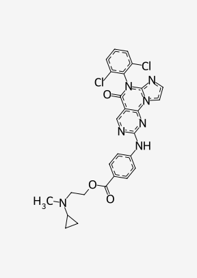 CN(CCOC(=O)c1ccc(Nc2ncc3c(=O)n(-c4c(Cl)cccc4Cl)c4nccn4c3n2)cc1)C1CC1